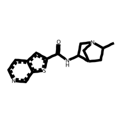 CC1CC2CN1CC2NC(=O)c1cc2ccncc2s1